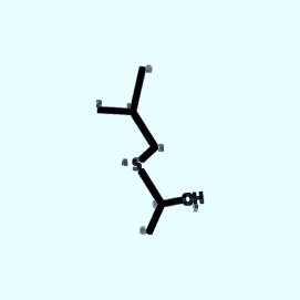 CC(C)CSC(C)O